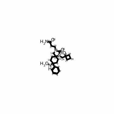 CNC1(c2ccccc2)CCC2(CC1)CN(CCC(N)=O)C(=O)N2CC1(O)CCC1